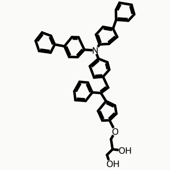 OCC(O)COc1ccc(C(=Cc2ccc(N(c3ccc(-c4ccccc4)cc3)c3ccc(-c4ccccc4)cc3)cc2)c2ccccc2)cc1